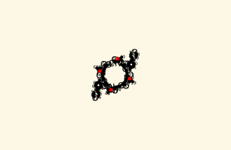 CC(C)C[C@H]1C(=O)O[C@H](Cc2ccc(N3CCOCC3)cc2)C(=O)N(C)[C@@H](CC(C)C)C(=O)O[C@H](C)C(=O)N(C)[C@@H](CC(C)C)C(=O)O[C@H](Cc2ccc(N3CCOCC3)cc2)C(=O)N(C)[C@@H](CC(C)C)C(=O)OCC(=O)N1C